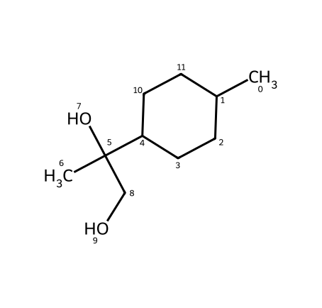 CC1CCC(C(C)(O)CO)CC1